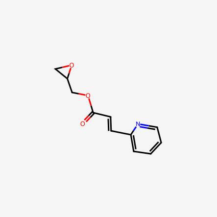 O=C(/C=C/c1ccccn1)OCC1CO1